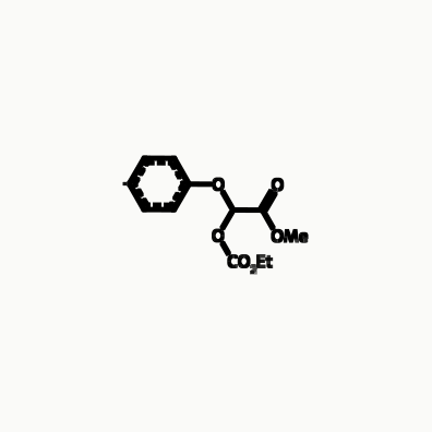 CCOC(=O)OC(Oc1cc[c]cc1)C(=O)OC